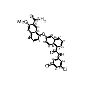 COc1cc2nccc(Oc3ccc4c(C(=O)Nc5cc(Cl)cc(Cl)c5)cccc4c3)c2cc1C(N)=O